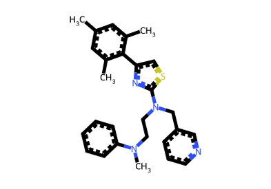 Cc1cc(C)c(-c2csc(N(CCN(C)c3ccccc3)Cc3cccnc3)n2)c(C)c1